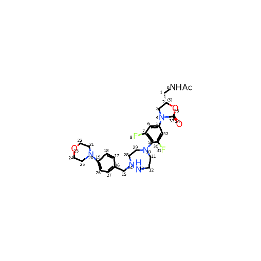 CC(=O)NC[C@H]1CN(c2cc(F)c(N3CCNN(Cc4ccc(N5CCOCC5)cc4)CC3)c(F)c2)C(=O)O1